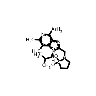 Cc1nc([AsH2])c2nc(CN3CCCS3(O)O)n(CC(C)C)c2c1C